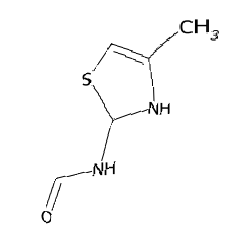 CC1=CSC(NC=O)N1